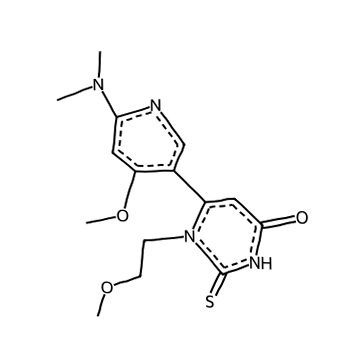 COCCn1c(-c2cnc(N(C)C)cc2OC)cc(=O)[nH]c1=S